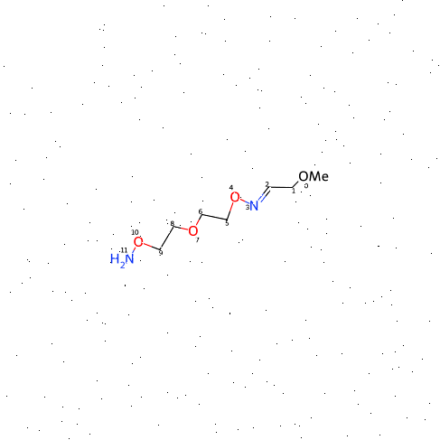 COCC=NOCCOCCON